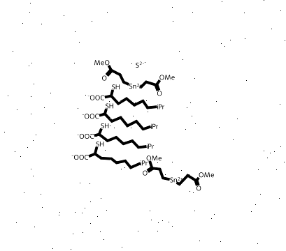 CC(C)CCCCCC(S)C(=O)[O-].CC(C)CCCCCC(S)C(=O)[O-].CC(C)CCCCCC(S)C(=O)[O-].CC(C)CCCCCC(S)C(=O)[O-].COC(=O)C[CH2][Sn+2][CH2]CC(=O)OC.COC(=O)C[CH2][Sn+2][CH2]CC(=O)OC.[S-2]